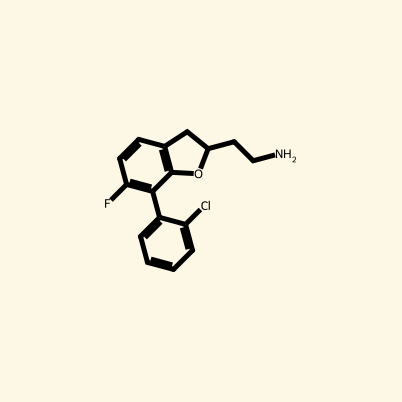 NCCC1Cc2ccc(F)c(-c3ccccc3Cl)c2O1